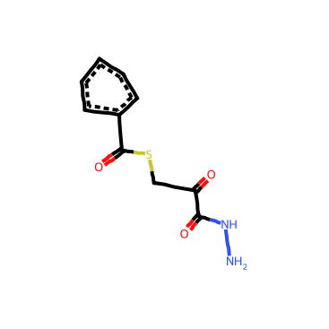 NNC(=O)C(=O)CSC(=O)c1ccccc1